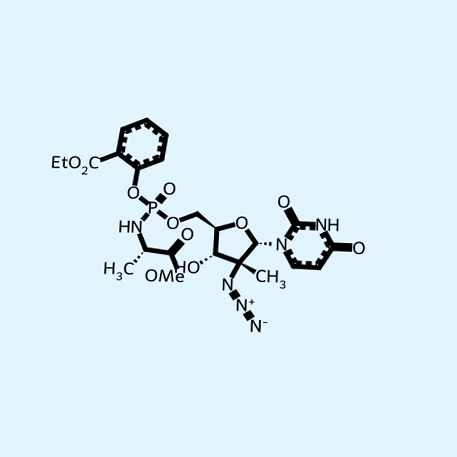 CCOC(=O)c1ccccc1OP(=O)(N[C@@H](C)C(=O)OC)OC[C@H]1O[C@H](n2ccc(=O)[nH]c2=O)[C@](C)(N=[N+]=[N-])[C@@H]1O